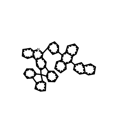 c1cc(-c2c3ccccc3c(-c3ccc4ccccc4c3)c3ccccc23)cc(-c2nc3ccccc3c3cc4c(cc23)-c2ccccc2C42c3ccccc3-c3ccccc32)c1